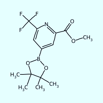 COC(=O)c1cc(B2OC(C)(C)C(C)(C)O2)cc(C(F)(F)F)n1